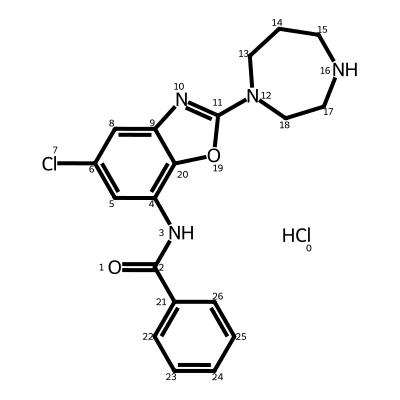 Cl.O=C(Nc1cc(Cl)cc2nc(N3CCCNCC3)oc12)c1ccccc1